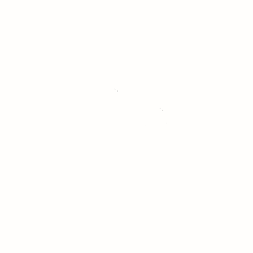 CCC1=C(c2ncc(-c3ccc(OC)c(C)c3)o2)CN(Cc2ccccc2)CC1